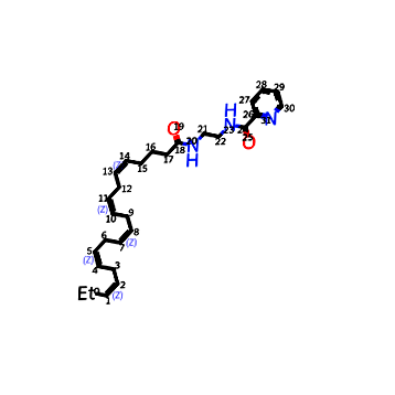 CC/C=C\C/C=C\C/C=C\C/C=C\C/C=C\CCCC(=O)NCCNC(=O)c1ccccn1